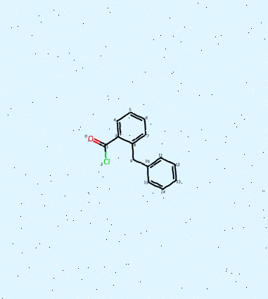 O=C(Cl)c1ccccc1Cc1ccccc1